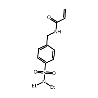 C=CC(=O)NCc1ccc(S(=O)(=O)N(CC)CC)cc1